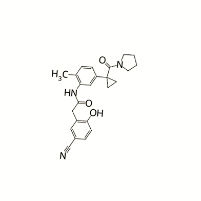 Cc1ccc(C2(C(=O)N3CCCC3)CC2)cc1NC(=O)Cc1cc(C#N)ccc1O